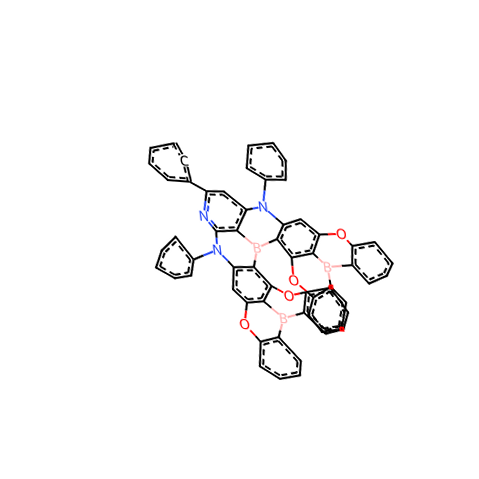 c1ccc(-c2cc3c4c(n2)N(c2ccccc2)c2cc5c6c(c2B4c2c(cc4c7c2Oc2ccccc2B7c2ccccc2O4)N3c2ccccc2)Oc2ccccc2B6c2ccccc2O5)cc1